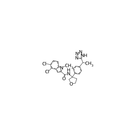 CC(c1ccc(C2(NC(=O)c3cc4c(Cl)c(Cl)ccc4n3C)CCOC2)cc1)c1nnn[nH]1